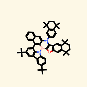 CC(C)(C)c1ccc2c(c1)c1cc(C(C)(C)C)cc3c1n2B1c2oc4cc5c(cc4c2N(c2ccc4c(c2)C(C)(C)CCC4(C)C)c2cc4ccccc4c-3c21)C(C)(C)CCC5(C)C